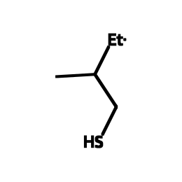 C[CH]C(C)CS